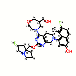 CCc1c(F)ccc2cc(O)cc(N3CCc4c(nc(OC[C@@]56CCCN5C[C@H](F)C6)nc4N4CCOCC(CO)C4)C3)c12